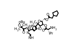 CCCCOC(C)(C)C(=O)N/C(=N/C=N)c1ccc([C@]2(C)O[C@H](COC(=O)CC3CCCC3)[C@@H](OC(=O)[C@H](N)C(C)C)[C@H]2O)[nH]1